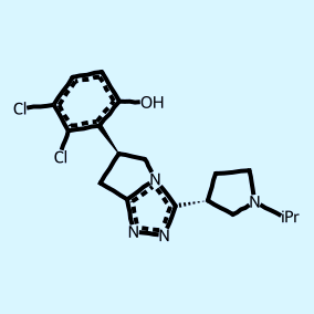 CC(C)N1CC[C@@H](c2nnc3n2C[C@H](c2c(O)ccc(Cl)c2Cl)C3)C1